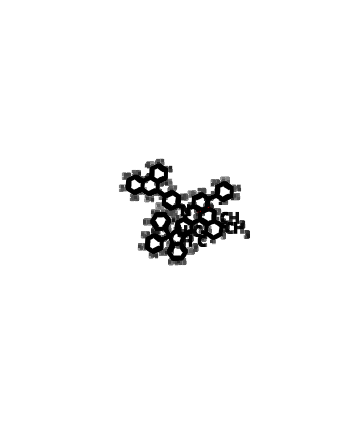 CC1(C)CCC(C)(C)c2c(-c3cc4c(cc3N(c3ccc(-c5ccccc5)cc3)c3ccc(-c5cc6ccccc6c6ccccc56)cc3)C(c3ccccc3)(c3ccccc3)c3ccccc3-4)cccc21